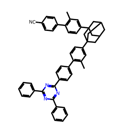 Cc1cc(C23CC4CC(C2)CC(c2ccc(-c5ccc(-c6nc(-c7ccccc7)nc(-c7ccccc7)n6)cc5)c(C)c2)(C4)C3)ccc1-c1ccc(C#N)cc1